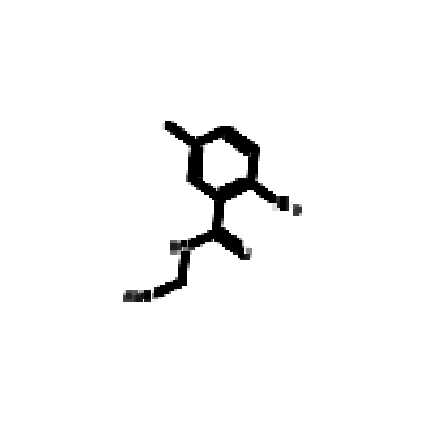 COCNC(=O)c1cc(C)ccc1N